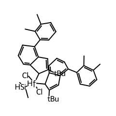 Cc1cccc(-c2cccc3c2C=C(C(C)(C)C)[CH]3[Hf]([Cl])([Cl])([CH]2C(C(C)(C)C)=Cc3c(-c4cccc(C)c4C)cccc32)[SiH](C)C)c1C